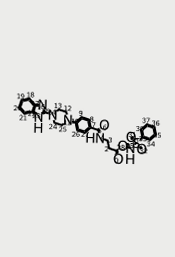 O=C(CCNC(=O)c1ccc(N2CCN(c3nc4ccccc4[nH]3)CC2)cc1)ONS(=O)(=O)c1ccccc1